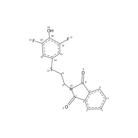 O=C1c2ccccc2C(=O)N1CCSc1cc(F)c(O)c(F)c1